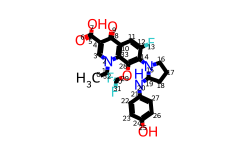 CCn1cc(C(=O)O)c(=O)c2cc(F)c(N3CCCC3Nc3ccc(O)cc3)c(OC(F)F)c21